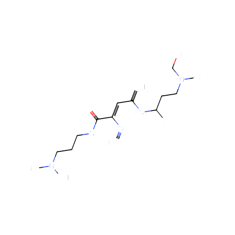 C=N/C(=C\C(=C)NC(C)CCN(C)CO)C(=O)NCCCN(C)CCC